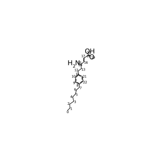 CCCCCCCCc1ccc(CCC(N)C=CC(=O)O)cc1